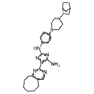 Nc1nc(Nc2ccc(N3CCN(C4CC5CCC4C5)CC3)cc2)nn1-c1ncc2c(n1)CCCCCC2